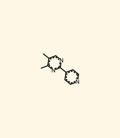 Cc1cnc(-c2ccncc2)nc1C